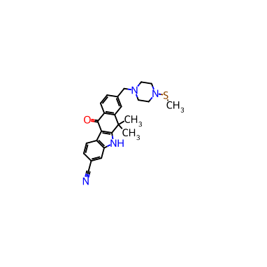 CSN1CCN(Cc2ccc3c(c2)C(C)(C)c2[nH]c4cc(C#N)ccc4c2C3=O)CC1